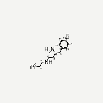 CC(C)CCNC[CH][C@H](N)Cc1ccc(F)cc1